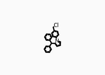 ClCc1ccc(-n2cccc2[C](c2ccccc2)c2ccccc2)cc1